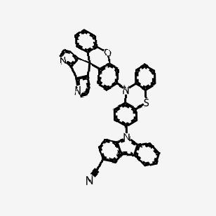 N#Cc1ccc2c(c1)c1ccccc1n2-c1ccc2c(c1)Sc1ccccc1N2c1ccc2c(c1)Oc1ccccc1C21c2cccnc2-c2ncccc21